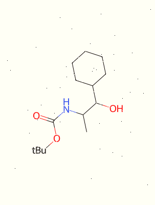 CC(NC(=O)OC(C)(C)C)C(O)C1CCCCC1